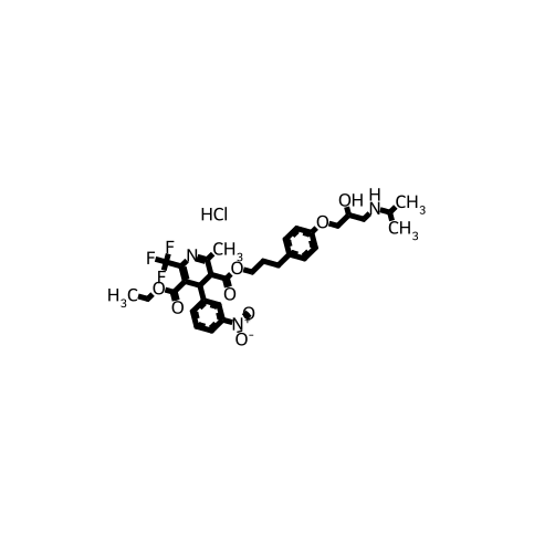 CCOC(=O)C1=C(C(F)(F)F)N=C(C)C(C(=O)OCCCc2ccc(OCC(O)CNC(C)C)cc2)C1c1cccc([N+](=O)[O-])c1.Cl